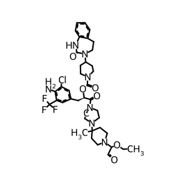 CCOC(C=O)N1CCC(C)(N2CCN(C(=O)[C@@H](Cc3cc(Cl)c(N)c(C(F)(F)F)c3)OC(=O)N3CCC(N4CCc5ccccc5NC4=O)CC3)CC2)CC1